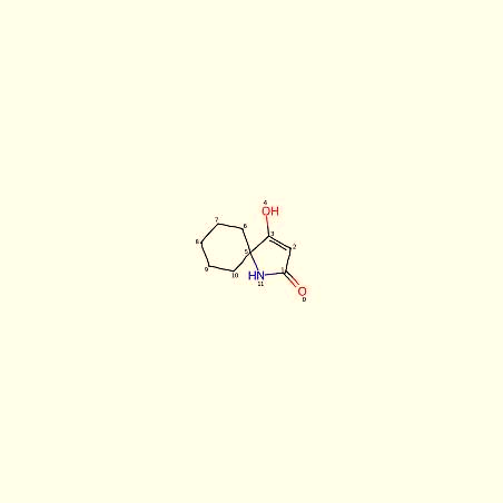 O=C1C=C(O)C2(CCCCC2)N1